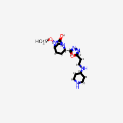 O=C1N(OS(=O)(=O)O)C2CC[C@@H](c3nnc(CCNC4CCNCC4)o3)N1C2